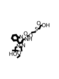 CCOCc1nc2c(NC(=O)OCCSCC(=O)O)nc3ccccc3c2n1CC(C)(C)O